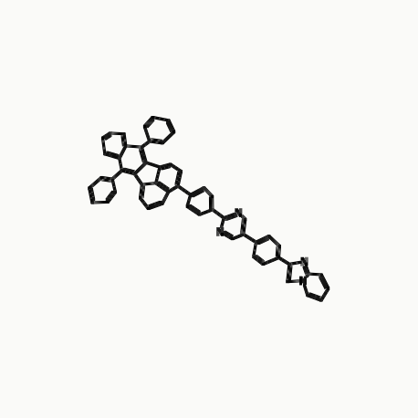 c1ccc(-c2c3c(c(-c4ccccc4)c4ccccc24)-c2ccc(-c4ccc(-c5ncc(-c6ccc(-c7cn8ccccc8n7)cc6)cn5)cc4)c4cccc-3c24)cc1